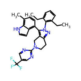 CCc1cccc(CC)c1-n1nc2c(c1-c1ccc(C)c3[nH]ccc13)CN(c1ncc(C(F)(F)F)cn1)CC2